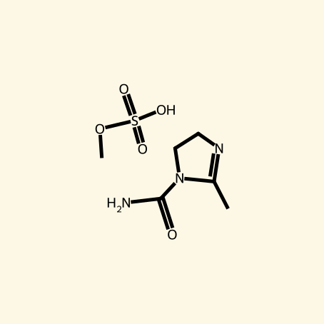 CC1=NCCN1C(N)=O.COS(=O)(=O)O